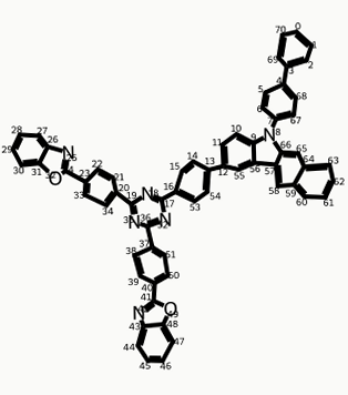 c1ccc(-c2ccc(-n3c4ccc(-c5ccc(-c6nc(-c7ccc(-c8nc9ccccc9o8)cc7)nc(-c7ccc(-c8nc9ccccc9o8)cc7)n6)cc5)cc4c4cc5ccccc5cc43)cc2)cc1